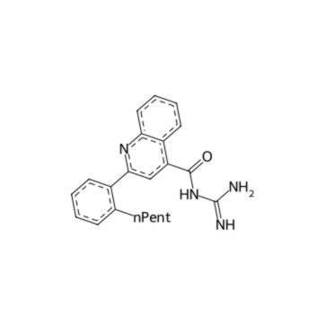 CCCCCc1ccccc1-c1cc(C(=O)NC(=N)N)c2ccccc2n1